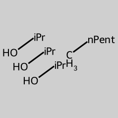 CC(C)O.CC(C)O.CC(C)O.CCCCCC